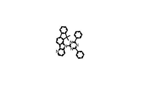 CC1(C)c2ccccc2-c2ccc3c4ncccc4n(-c4nc(-c5ccccc5)nc(-c5ccccc5)n4)c3c21